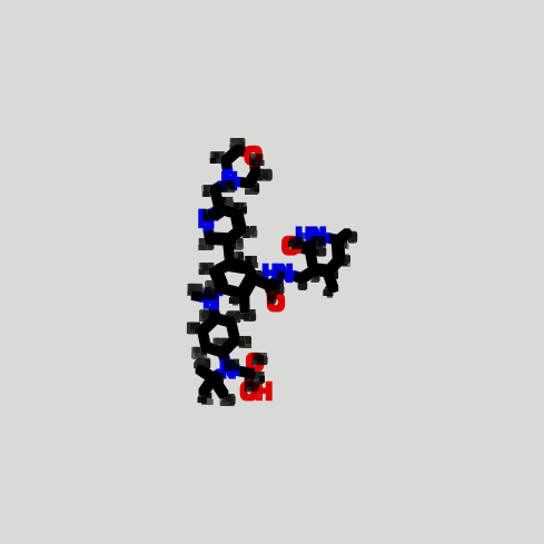 Cc1cc(C)c(CNC(=O)c2cc(-c3ccc(CN4CCOCC4)nc3)cc(N(C)C3CCC(N(C(=O)O)C(C)(C)C)CC3)c2C)c(=O)[nH]1